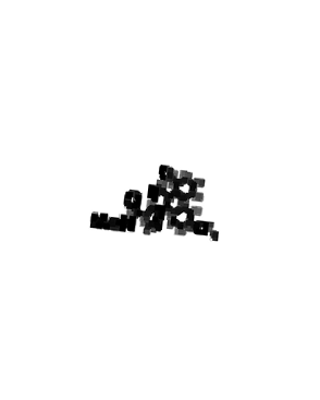 CNC(=O)c1cnn2c(-c3ccc(C(F)(F)F)cc3)c(-c3ccccc3Cl)cnc12